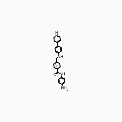 Nc1ccc(NC(=O)C23CCC(CNc4ccc(C5=CCNCC5)cc4)(CC2)CC3)cc1